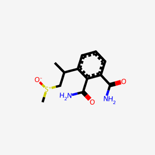 CC(C[S+](C)[O-])c1cccc(C(N)=O)c1C(N)=O